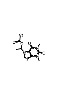 CCC(=O)OC(C)n1cnc2c1c(=O)n(C)c(=O)n2C